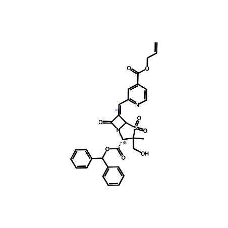 C=CCOC(=O)c1ccnc(/C=C2/C(=O)N3C2S(=O)(=O)C(C)(CO)[C@@H]3C(=O)OC(c2ccccc2)c2ccccc2)c1